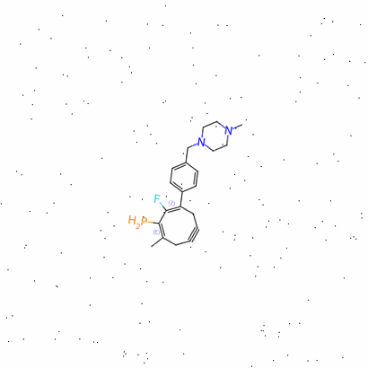 C/C1=C(P)/C(F)=C(/c2ccc(CN3CCN(C)CC3)cc2)CC#CC1